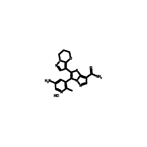 Cc1ncc(N)cc1-c1c(-c2cnn3c2OCCC3)sc2c(C(N)=O)cnn12.Cl